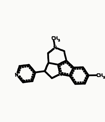 Cc1ccc2c(c1)c1c3n2CC(c2ccncc2)C3CN(C)C1